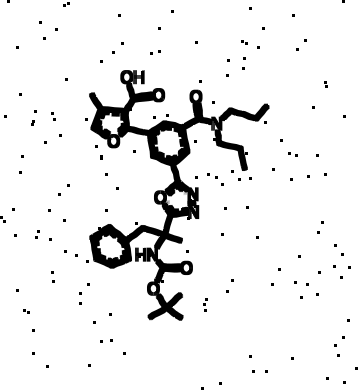 CCCN(CCC)C(=O)c1cc(-c2nnc(C(C)(Cc3ccccc3)NC(=O)OC(C)(C)C)o2)cc(-c2occ(C)c2C(=O)O)c1